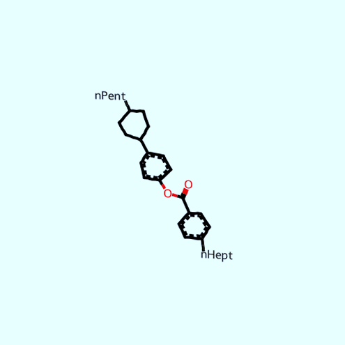 CCCCCCCc1ccc(C(=O)Oc2ccc(C3CCC(CCCCC)CC3)cc2)cc1